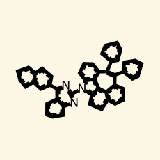 c1ccc(C2=C(c3ccccc3)c3cccc4c3c3c5c2cccc5ccc3n4-c2nc(-c3ccc4ccccc4c3)c3ccccc3n2)cc1